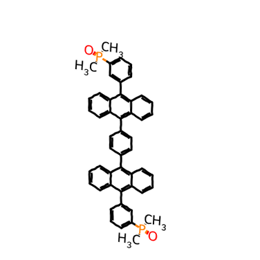 CP(C)(=O)c1cccc(-c2c3ccccc3c(-c3ccc(-c4c5ccccc5c(-c5cccc(P(C)(C)=O)c5)c5ccccc45)cc3)c3ccccc23)c1